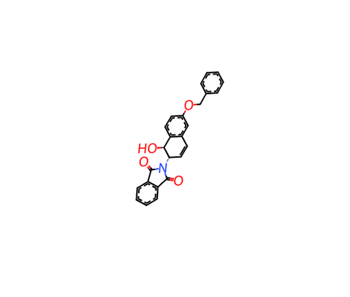 O=C1c2ccccc2C(=O)N1[C@H]1C=Cc2cc(OCc3ccccc3)ccc2[C@@H]1O